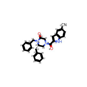 N#Cc1ccc2[nH]c(C(=O)N3CC(=O)N(Cc4ccccc4)[C@@H](Cc4ccccc4)C3)cc2c1